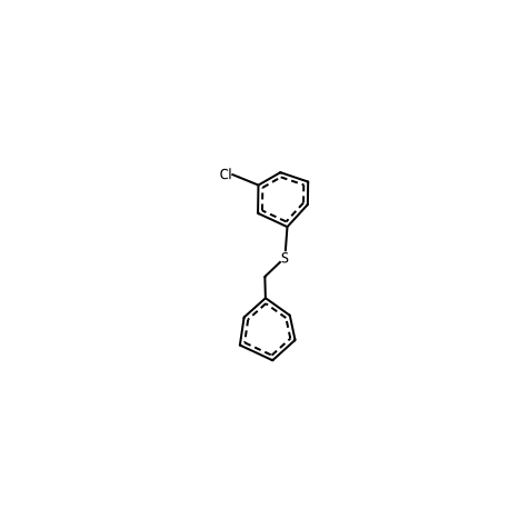 Clc1cccc(SCc2ccccc2)c1